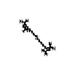 N#CC(C#N)=c1ccc(=C(C#N)C#N)c(CCCCCCCCCSSCCCCCCCCCc2cc(=C(C#N)C#N)ccc2=C(C#N)C#N)c1